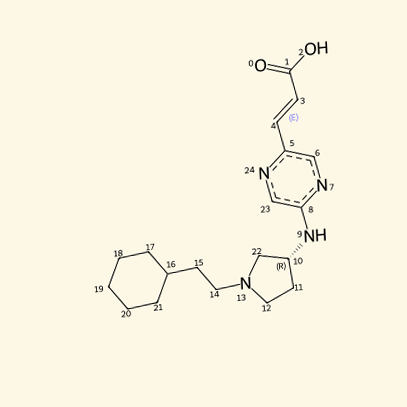 O=C(O)/C=C/c1cnc(N[C@@H]2CCN(CCC3CCCCC3)C2)cn1